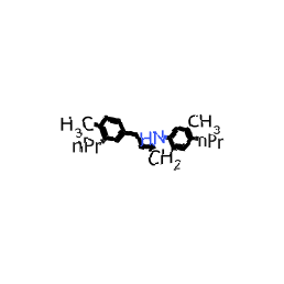 C=C(CCc1ccc(C)c(CCC)c1)Nc1ccc(CCC)c(C)c1